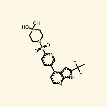 O=S(=O)(c1ccc(-c2ccnc3[nH]c(C(F)(F)F)cc23)cn1)N1CCS(O)(O)CC1